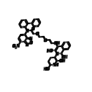 O=C(COCCOCCNC1=C(O)N(C2CCC(O)NC2O)C(O)c2ccccc21)N(c1ccccc1-c1ccccc1)c1ccc([N+](=O)[O-])c2nonc12